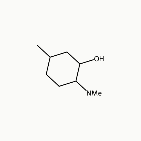 CNC1CCC(C)CC1O